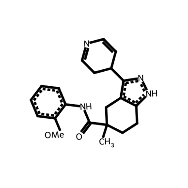 COc1ccccc1NC(=O)C1(C)CCc2[nH]nc(C3C=CN=CC3)c2C1